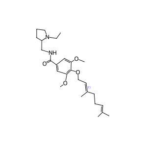 CCN1CCCC1CNC(=O)c1cc(OC)c(OC/C=C(\C)CCC=C(C)C)c(OC)c1